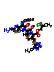 C=C(Cl)COC(=O)C1=C(CSc2nnnn2C)CS[C@@H]2C(NC(=O)/C(=N\OC)c3csc(N)n3)C(=O)N12